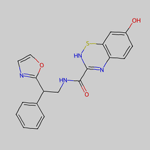 O=C(NCC(c1ccccc1)c1ncco1)C1=Nc2ccc(O)cc2SN1